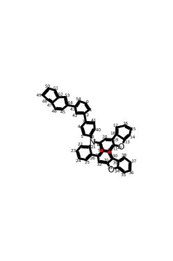 c1cc(-c2ccc(N(c3ccc4oc5ccccc5c4c3)c3ccccc3-c3ccc4c(c3)oc3ccccc34)cc2)cc(-c2ccc3ccccc3c2)c1